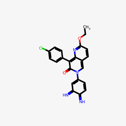 CCOc1ccc2cn(C3=CC(=N)C(=N)C=C3)c(=O)c(-c3ccc(Cl)cc3)c2n1